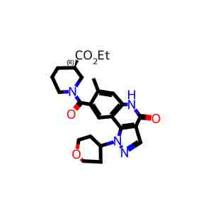 CCOC(=O)[C@@H]1CCCN(C(=O)c2cc3c(cc2C)[nH]c(=O)c2cnn(C4CCOCC4)c23)C1